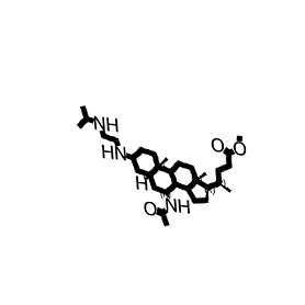 COC(=O)CC[C@@H](C)[C@H]1CCC2C3C(CC[C@@]21C)[C@@]1(C)CCC(NCCNC(C)C)C[C@@H]1C[C@H]3NC(C)=O